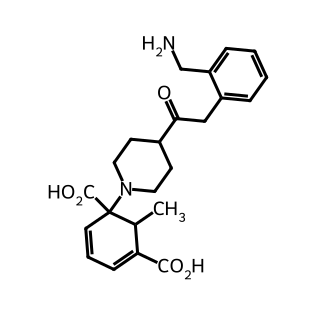 CC1C(C(=O)O)=CC=CC1(C(=O)O)N1CCC(C(=O)Cc2ccccc2CN)CC1